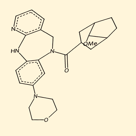 COC1C2CCC1CC(C(=O)N1Cc3cccnc3Nc3ccc(N4CCOCC4)cc31)C2